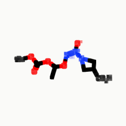 CC(O/N=[N+](/[O-])N1CC(C(=O)O)C1)OC(=O)OC(C)(C)C